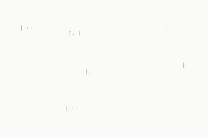 N[C@@H](CO)C(=O)NC(Cc1ccc(F)c(F)c1)C(=O)O